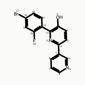 Oc1ccc(-c2cccnc2)nc1-c1ccc(Br)cc1F